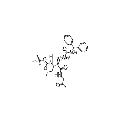 CCCC(NC(=O)OC(C)(C)C)C(=NNC(=O)NC(c1ccccc1)c1ccccc1)C(=O)NCC(C)=O